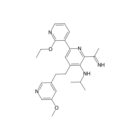 CCOc1ncccc1-c1cc(CCc2cncc(OC)c2)c(NC(C)C)c(C(C)=N)n1